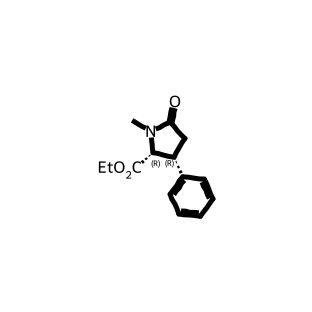 CCOC(=O)[C@H]1[C@@H](c2ccccc2)CC(=O)N1C